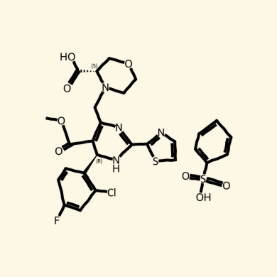 COC(=O)C1=C(CN2CCOC[C@H]2C(=O)O)N=C(c2nccs2)N[C@H]1c1ccc(F)cc1Cl.O=S(=O)(O)c1ccccc1